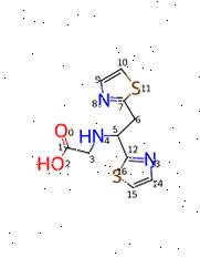 O=C(O)CNC(Cc1nccs1)c1nccs1